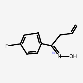 C=CC/C(=N\O)c1ccc(F)cc1